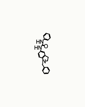 O=C(Nc1ccccc1)Nc1ccc2c(c1)CCN2Cc1ccccc1